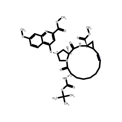 COC(=O)c1cc(O[C@@H]2C[C@H]3C(=O)N[C@]4(C(=O)OC)CC4/C=C\CCCCC[C@H](NC(=O)OC(C)(C)C)C(=O)N3C2)c2ccc(OC)cc2n1